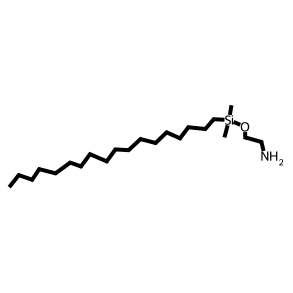 CCCCCCCCCCCCCCCCCC[Si](C)(C)OCCN